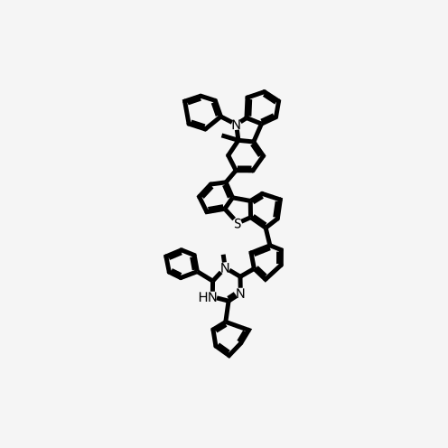 CN1C(c2cccc(-c3cccc4c3sc3cccc(C5=CC=C6c7ccccc7N(c7ccccc7)C6(C)C5)c34)c2)N=C(c2ccccc2)NC1c1ccccc1